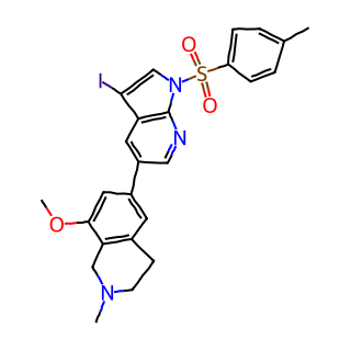 COc1cc(-c2cnc3c(c2)c(I)cn3S(=O)(=O)c2ccc(C)cc2)cc2c1CN(C)CC2